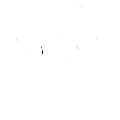 Cc1nc2cc(C3CCC(F)(F)CC3)nn2c(N2CCC[C@@](C)(C(=O)O)C2)c1C(C)C